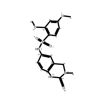 COc1ccc(S(=O)(=O)Nc2ccc3c(c2)CN(C)C(=O)N3)c(OC)c1